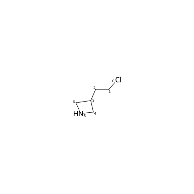 ClCCC1CNC1